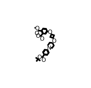 COC(=O)c1ccc(O[C@H]2C[C@H](OC3CCN(c4ccc(C(=O)OC(C)(C)C)cc4)CC3)C2)cc1C(=O)OC